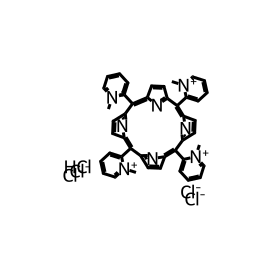 C[n+]1ccccc1C1=C2C=CC(=N2)C(c2cccc[n+]2C)=C2C=CC(=N2)C(c2cccc[n+]2C)=C2C=CC(=N2)C(c2cccc[n+]2C)=C2C=CC1=N2.Cl.[Cl-].[Cl-].[Cl-].[Cl-]